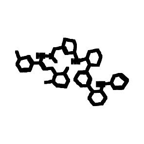 CC1C=C(/C(=C/CC2C(C)C=CCC2C)NN(C)CC2=CC(NC3CCCCC3C3=CCCC(C4CCCCC4NC4C=CC=CC4)=C3)CCC2)C=CC1